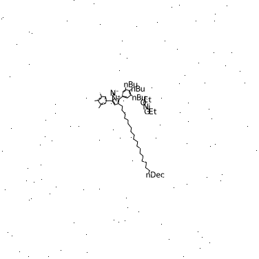 CCCCCCCCCCCCCCCCCCCCCCCCCCCCCC1=C(c2cc(CCCC)c(CCCC)c(CCCC)c2)[N+](=[N-])C(c2cc(C)c(C)c(C)c2)=C1.CC[O][Ni][O]CC